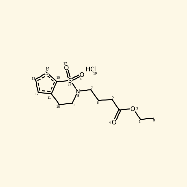 CCOC(=O)CCCN1CCc2ccsc2S1(=O)=O.Cl